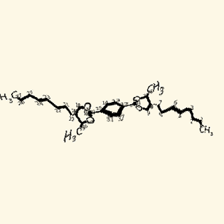 CCCCCCCC[C@@H]1CO[C@@H](c2ccc([C@@H]3OC[C@@H](CCCCCCCC)C(C)O3)cc2)OC1C